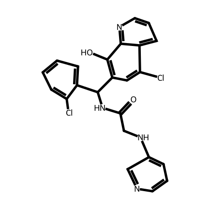 O=C(CNc1cccnc1)NC(c1ccccc1Cl)c1cc(Cl)c2cccnc2c1O